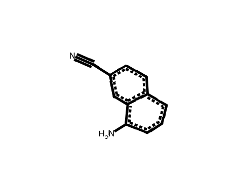 N#Cc1ccc2cccc(N)c2c1